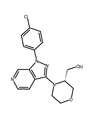 OC[C@@H]1COCCN1c1nn(-c2ccc(Cl)cc2)c2cnccc12